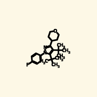 CC(C)(C)c1c(C2CCOCC2)nn(-c2ccc(F)cc2)c1C(C)(C)C